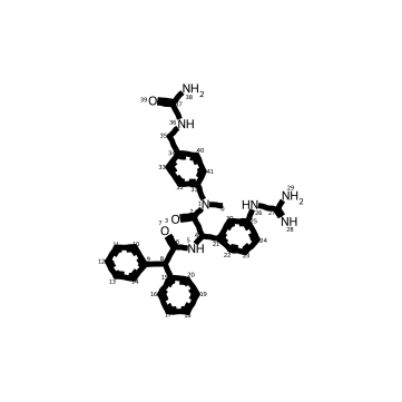 CN(C(=O)C(NC(=O)C(c1ccccc1)c1ccccc1)c1cccc(NC(=N)N)c1)c1ccc(CNC(N)=O)cc1